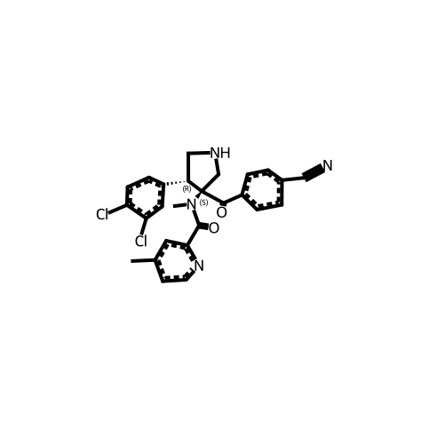 Cc1ccnc(C(=O)N(C)[C@]2(C(=O)c3ccc(C#N)cc3)CNC[C@H]2c2ccc(Cl)c(Cl)c2)c1